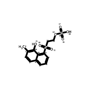 Cc1ccc2cccc(S(=O)(=O)CCOS(=O)(=O)O)c2c1O